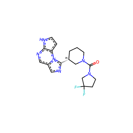 O=C(N1CCC[C@@H](c2ncc3cnc4[nH]ccc4n23)C1)N1CCC(F)(F)C1